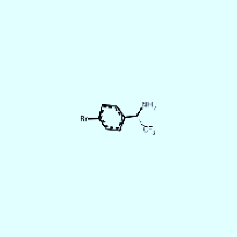 N[C@@H](c1ccc(Br)cc1)C(F)(F)F